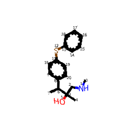 CNCC(C)(O)C(C)c1ccc(Sc2ccccc2)cc1